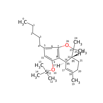 CCCCCc1cc2c(c(O[Si](C)(C)C)c1)[C@@H]1C=C(C)CC[C@H]1C(C)(C)O2